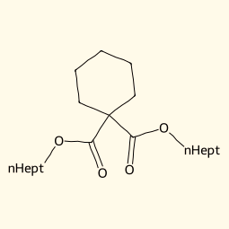 CCCCCCCOC(=O)C1(C(=O)OCCCCCCC)CCCCC1